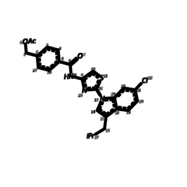 CC(=O)OCc1ccc(C(=O)Nc2csc(-n3cc(CC(C)C)c4ccc(Cl)cc43)n2)cc1